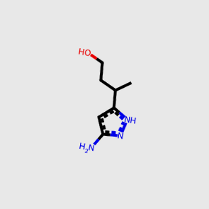 CC(CCO)c1cc(N)n[nH]1